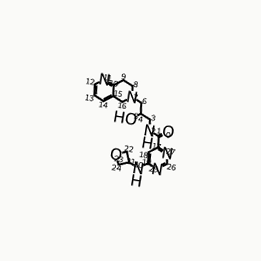 O=C(NCC(O)CN1CCc2ncccc2C1)c1cc(NC2COC2)ncn1